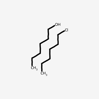 CCCCCCCl.CCCCCCO